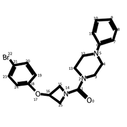 O=C(N1CCN(c2ccccc2)CC1)N1CC(Oc2ccc(Br)cc2)C1